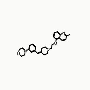 Cc1ccc2c(OCCN3CCC(=Cc4cccc(N5CCOCC5)c4)CC3)cccc2n1